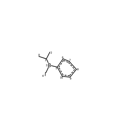 CC(C)B(I)c1ccccc1